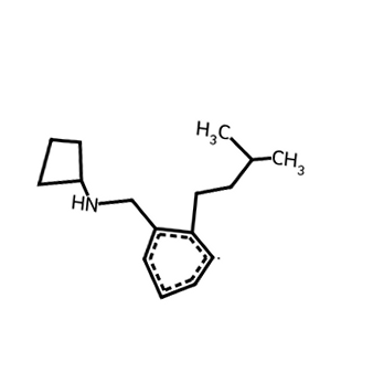 CC(C)CCc1[c]cccc1CNC1CCC1